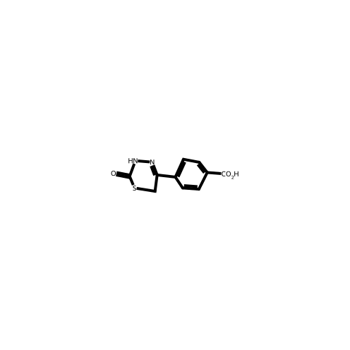 O=C1NN=C(c2ccc(C(=O)O)cc2)CS1